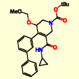 COCOC1CN(C(=O)OC(C)(C)C)CC(C(=O)NC2CC2)=C1c1cccc(-c2ccccc2)c1